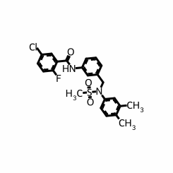 Cc1ccc(N(Cc2cccc(NC(=O)c3cc(Cl)ccc3F)c2)S(C)(=O)=O)cc1C